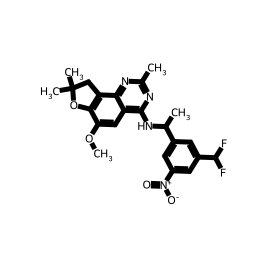 COc1cc2c(NC(C)c3cc(C(F)F)cc([N+](=O)[O-])c3)nc(C)nc2c2c1OC(C)(C)C2